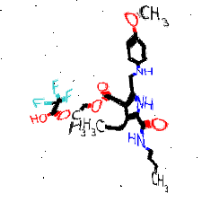 CCCCNC(=O)c1[nH]c(CNc2ccc(OC)cc2)c(C(=O)OCC)c1CC.O=C(O)C(F)(F)F